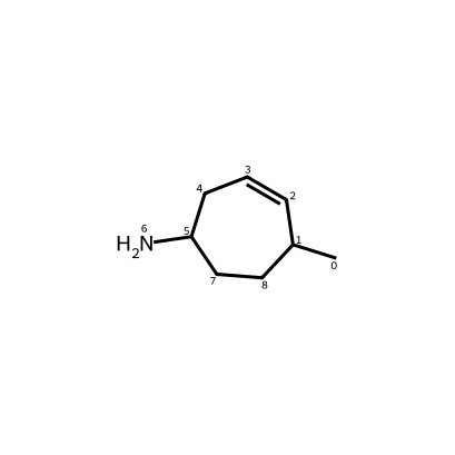 CC1C=CCC(N)CC1